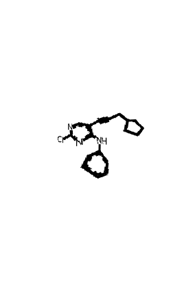 Clc1ncc(C#CCC2CCCC2)c(Nc2ccccc2)n1